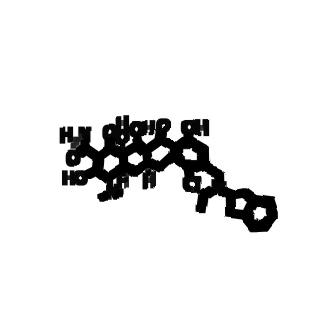 CCN(Cc1cc(O)c2c(c1Cl)C[C@H]1C[C@H]3[C@H](N(C)C)C(O)=C(C(N)=O)C(=O)[C@@]3(O)C(O)=C1C2=O)C1Cc2ccccc2C1